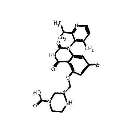 Cc1ccnc(C(C)C)c1-n1c(=O)[nH]c(=O)c2c(OC[C@@H]3CN(C(=O)O)CCN3)cc(Br)cc21